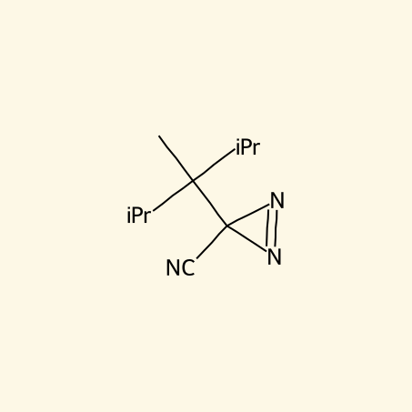 CC(C)C(C)(C(C)C)C1(C#N)N=N1